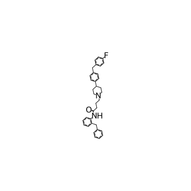 O=C(CCCN1CCC(c2ccc(Cc3ccc(F)cc3)cc2)CC1)Nc1ccccc1Cc1ccccc1